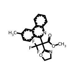 COC(=O)C(C1=NCCO1)(c1nc2ccccc2c2cc(C)ccc12)C(F)(F)F